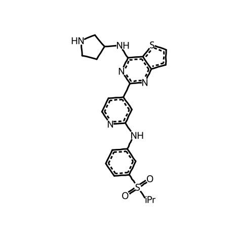 CC(C)S(=O)(=O)c1cccc(Nc2cc(-c3nc(NC4CCNC4)c4sccc4n3)ccn2)c1